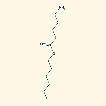 CCCCCCOC(=O)CCCCN